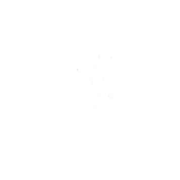 C1=CC[C]([Zr+2][C]2=C(C3CCCC3)C=CC2)=C1.[F-].[F-]